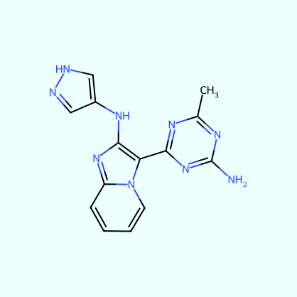 Cc1nc(N)nc(-c2c(Nc3cn[nH]c3)nc3ccccn23)n1